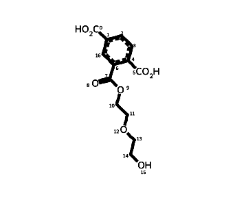 O=C(O)c1ccc(C(=O)O)c(C(=O)OCCOCCO)c1